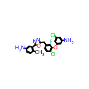 Cc1ccc(N)cc1-c1nnc(Cc2ccc(Cl)c(Oc3cc(N)cc(Cl)c3)c2F)o1